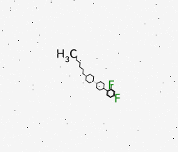 CCCCCCC[C@H]1CC[C@H](C2CCC(c3ccc(F)cc3F)CC2)CC1